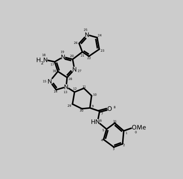 COc1cccc(NC(=O)C2CCC(n3cnc4c(N)nc(-c5cccnc5)nc43)CC2)c1